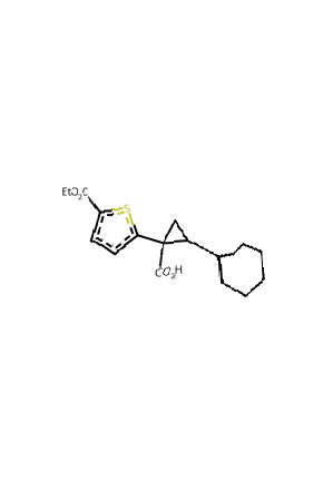 CCOC(=O)c1ccc(C2(C(=O)O)CC2C2CCCCC2)s1